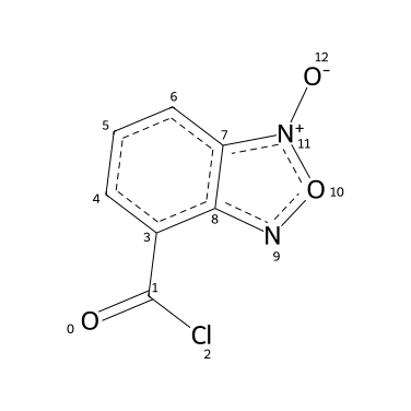 O=C(Cl)c1cccc2c1no[n+]2[O-]